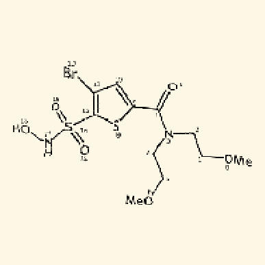 COCCN(CCOC)C(=O)c1cc(Br)c(S(=O)(=O)NO)s1